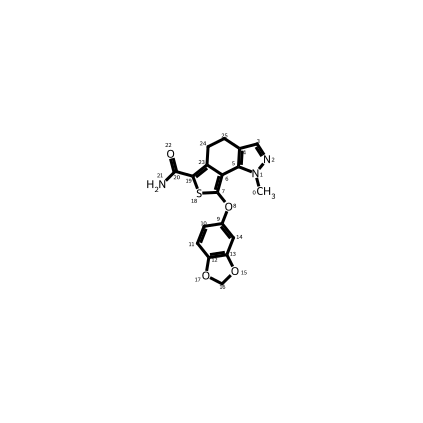 Cn1ncc2c1-c1c(Oc3ccc4c(c3)OCO4)sc(C(N)=O)c1CC2